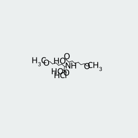 COCCCCCC(NC(CCCCCOC)C(=O)O)C(=O)O.Cl